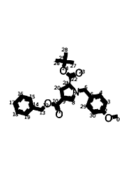 COc1ccc(CN2C=C(C(=O)OCc3ccccc3)C[C@H]2C(=O)OC(C)(C)C)cc1